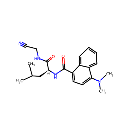 CC(C)C[C@H](NC(=O)c1ccc(N(C)C)c2ccccc12)C(=O)NCC#N